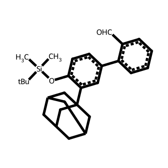 CC(C)(C)[Si](C)(C)Oc1ccc(-c2ccccc2C=O)cc1C12CC3CC(CC(C3)C1)C2